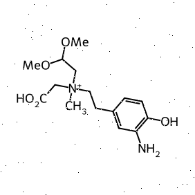 COC(C[N+](C)(CCc1ccc(O)c(N)c1)CC(=O)O)OC